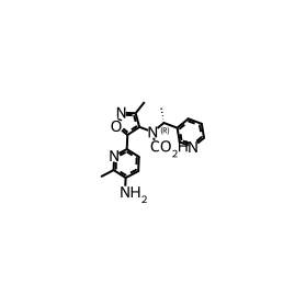 Cc1nc(-c2onc(C)c2N(C(=O)O)[C@H](C)c2cccnc2)ccc1N